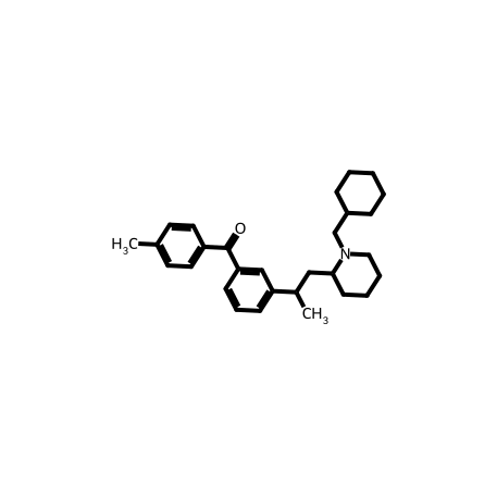 Cc1ccc(C(=O)c2cccc(C(C)CC3CCCCN3CC3CCCCC3)c2)cc1